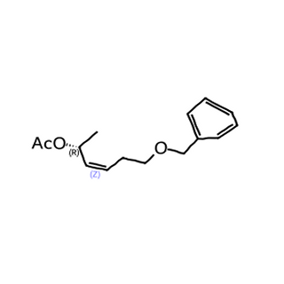 CC(=O)O[C@H](C)/C=C\CCOCc1ccccc1